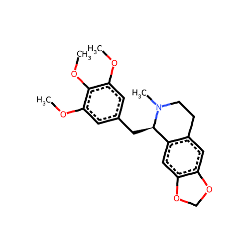 COc1cc(C[C@@H]2c3cc4c(cc3CCN2C)OCO4)cc(OC)c1OC